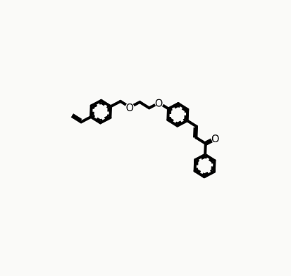 C=Cc1ccc(COCCOc2ccc(C=CC(=O)c3ccccc3)cc2)cc1